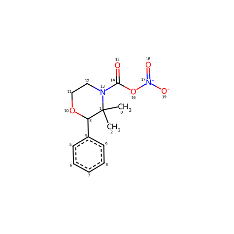 CC1(C)C(c2ccccc2)OCCN1C(=O)O[N+](=O)[O-]